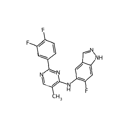 Cc1cnc(-c2ccc(F)c(F)c2)nc1Nc1cc2cn[nH]c2cc1F